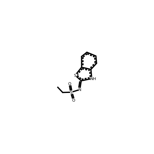 CCS(=O)(=O)N=c1[nH]c2ccccc2s1